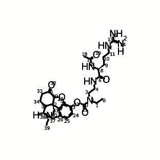 CCN(CCNC(=O)[C@H](CCCNC(=N)N)NC(C)=O)C(=O)Oc1ccc2c3c1OC1C(=O)CCC4[C@@H](C2)N(C)CC[C@]314